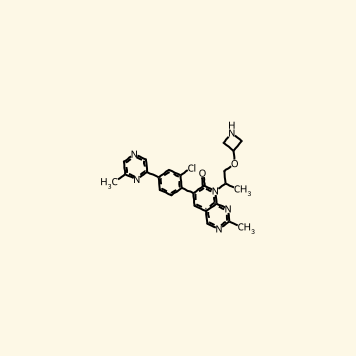 Cc1cncc(-c2ccc(-c3cc4cnc(C)nc4n(C(C)COC4CNC4)c3=O)c(Cl)c2)n1